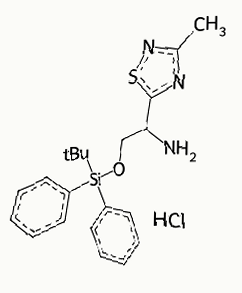 Cc1nsc(C(N)CO[Si](c2ccccc2)(c2ccccc2)C(C)(C)C)n1.Cl